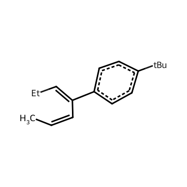 C/C=C\C(=C/CC)c1ccc(C(C)(C)C)cc1